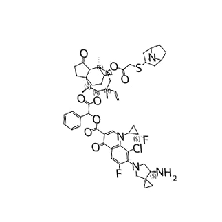 C=C[C@@]1(C)C[C@H](OC(=O)CSC2CC3CCC(C2)N3C)[C@@]2(C)C(C)CCC3(CCC(=O)C32)[C@H](C)[C@H]1OC(=O)C(OC(=O)c1cn(C2C[C@@H]2F)c2c(Cl)c(N3C[C@@H](N)C4(CC4)C3)c(F)cc2c1=O)c1ccccc1